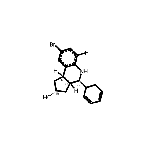 O[C@H]1C[C@@H]2[C@H](C1)c1cc(Br)cc(F)c1N[C@H]2C1C=CC=CC1